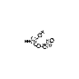 CCN(C(=N)CCCc1ccc(-c2ccnc(N[S+]([O-])c3ccccc3)n2)cc1)C(=O)NCc1ccc(C(C)(C)C)cc1